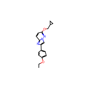 CCOc1ccc(-c2cn3nc(OCC4CC4)ccc3n2)cc1